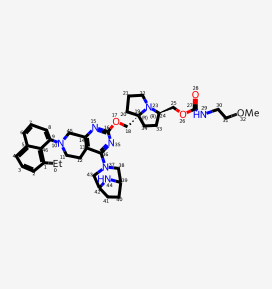 CCc1cccc2cccc(N3CCc4c(nc(OC[C@]56CCCN5[C@@H](COC(=O)NCCOC)CC6)nc4N4CC5CCC(C4)N5)C3)c12